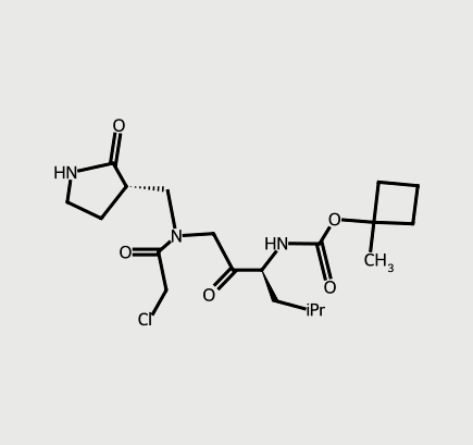 CC(C)C[C@H](NC(=O)OC1(C)CCC1)C(=O)CN(C[C@@H]1CCNC1=O)C(=O)CCl